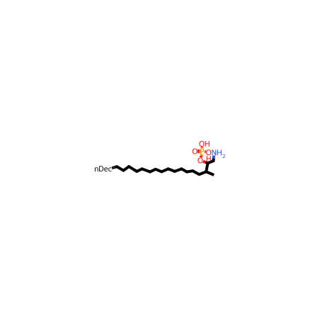 CCCCCCCCCCCCCCCCCCCCCCCCC(C)C(CN)OP(=O)(O)O